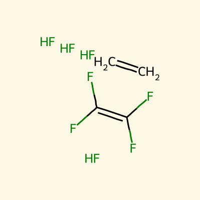 C=C.F.F.F.F.FC(F)=C(F)F